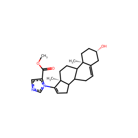 COC(=O)c1cncn1C1=CCC2C3CC=C4C[C@@H](O)CC[C@]4(C)C3CC[C@]12C